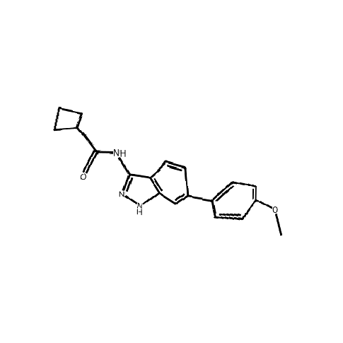 COc1ccc(-c2ccc3c(NC(=O)C4CCC4)n[nH]c3c2)cc1